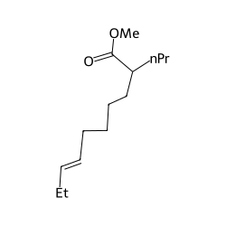 CCC=CCCCCC(CCC)C(=O)OC